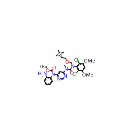 COc1cc(OC)c(Cl)c(N(COCC[Si](C)(C)C)C(=O)N(C)c2cc(N(C(=O)OC(C)(C)C)c3ccccc3N)ncn2)c1Cl